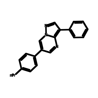 CCCc1ccc(-c2cnc3c(-c4ccccc4)cnn3c2)cc1